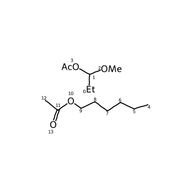 CCC(OC)OC(C)=O.CCCCCCOC(C)=O